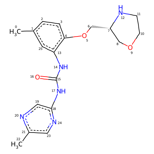 Cc1ccc(OC[C@H]2COCCN2)c(NC(=O)Nc2cnc(C)cn2)c1